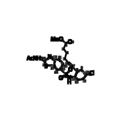 COC(=O)CCCC#Cc1cc(Cl)ccc1NS(=O)(=O)c1ccc2nc(NC(C)=O)sc2c1